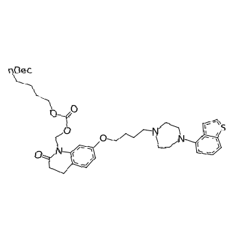 CCCCCCCCCCCCCCOC(=O)OCN1C(=O)CCc2ccc(OCCCCN3CCN(c4cccc5sccc45)CC3)cc21